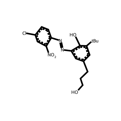 CC(C)(C)c1cc(CCCO)cc(/N=N/c2ccc(Cl)cc2[N+](=O)[O-])c1O